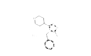 Cc1nnc(C2CCNCC2)n1Cc1ccccc1.Cl